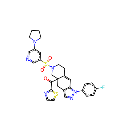 O=C(c1nccs1)C12Cc3cnn(-c4ccc(F)cc4)c3C=C1CCN(S(=O)(=O)c1cncc(N3CCCC3)c1)C2